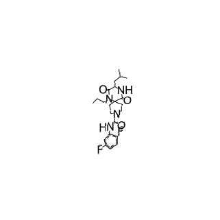 CCCN1C(=O)C(CC(C)C)NC(=O)C12CCN(C(=O)Nc1cc(F)ccc1F)CC2